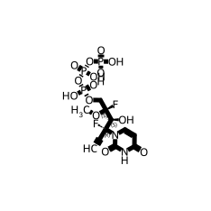 C#C[C@@](F)([C@H](O)[C@@](F)(COP(=O)(O)OP(=O)(O)OP(=O)(O)O)OC)n1ccc(=O)[nH]c1=O